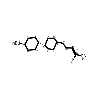 CCCC[C@H]1CC[C@H](C2CCC(CC/C=C(\F)C#N)CC2)CC1